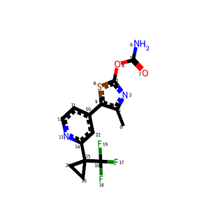 Cc1nc(OC(N)=O)sc1-c1ccnc(C2(C(F)(F)F)CC2)c1